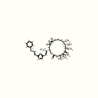 CC(=Cc1csc(C=NCc2ccccc2)n1)[C@@H]1C[C@@H]2O[C@@H]2CCC[C@H](C)[C@H](O)[C@@H](C)C(=O)C(C)(C)[C@@H](O)CC(=O)O1